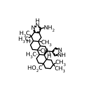 CC1(C)CC[C@]2(C(=O)O)CC[C@]3(C)C(=C(c4cn[nH]c4)CC4[C@@]5(C)Cc6c(n[nH]c6N)C(C)(C)[C@@H]5CC[C@]43C)[C@@H]2C1